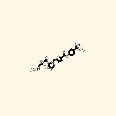 N=C(N)c1ccc(OC(=O)c2ccc(CN3CCC[C@H]3C(=O)N[C@@H](CS(=O)(=O)O)C(=O)O)s2)cc1